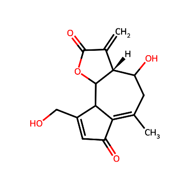 C=C1C(=O)OC2C3C(CO)=CC(=O)C3=C(C)CC(O)[C@@H]12